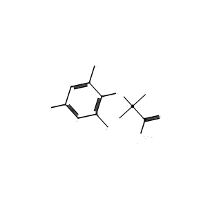 COC(=O)C(C)(C)Oc1c(C)cc(O)cc1C